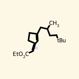 CCOC(=O)/C=C1/C=C(CC(C)CCC(C)(C)C)CC1